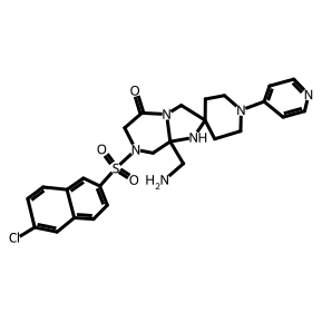 NCC12CN(S(=O)(=O)c3ccc4cc(Cl)ccc4c3)CC(=O)N1CC1(CCN(c3ccncc3)CC1)N2